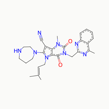 CC(C)=CCn1c(N2CCCNCC2)c(C#N)c2c1c(=O)n(Cc1nc(C)c3ccccc3n1)c(=O)n2C